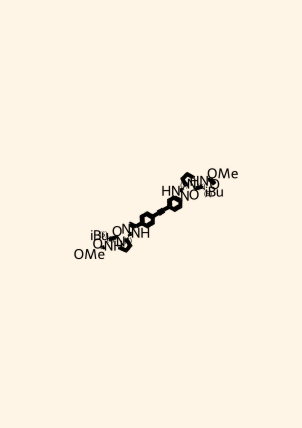 CC[C@H](C)[C@H](NC(=O)OC)C(=O)N1CCC[C@H]1c1ncc(-c2ccc(C#Cc3ccc4nc([C@@H]5CCCN5C(=O)[C@@H](NC(=O)OC)[C@@H](C)CC)[nH]c4c3)cc2)[nH]1